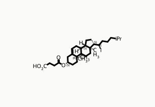 CC(C)CCC[C@@H](I)[C@H]1CC[C@H]2[C@@H]3CC=C4C[C@@H](OC(=O)CCC(=O)O)CC[C@]4(C)[C@@]3(C)CC[C@]12C